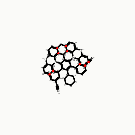 N#Cc1cccc(-c2c(C3CCCCC3)c(-c3cccc(C#N)c3)c(N3c4ccccc4Oc4ccccc43)c(C3CCCCC3)c2N2c3ccccc3Oc3ccccc32)c1